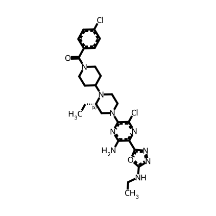 CCNc1nnc(-c2nc(Cl)c(N3CCN(C4CCN(C(=O)c5ccc(Cl)cc5)CC4)[C@@H](CC)C3)nc2N)o1